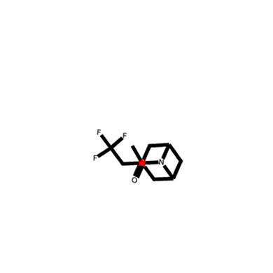 CC(=O)N1C2CC1CN(CC(F)(F)F)C2